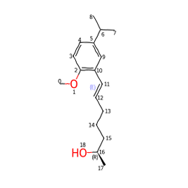 COc1ccc(C(C)C)cc1/C=C/CCC[C@@H](C)O